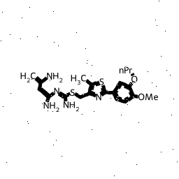 C=C(N)/C=C(N)\N=C(/N)SCc1nc(-c2ccc(OC)c(OCCC)c2)sc1C